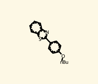 CCCCOc1ccc(-c2nc3c[c]ccc3s2)cc1